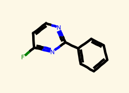 Fc1c[c]nc(-c2ccccc2)n1